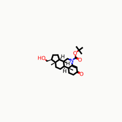 CC(C)(C)OC(=O)N1C[C@H]2[C@@H]3CC[C@H](CO)[C@@]3(C)CC[C@@H]2[C@@]2(C)CCC(=O)C=C12